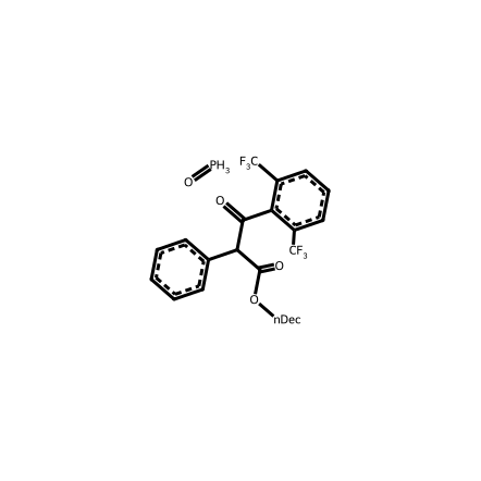 CCCCCCCCCCOC(=O)C(C(=O)c1c(C(F)(F)F)cccc1C(F)(F)F)c1ccccc1.O=[PH3]